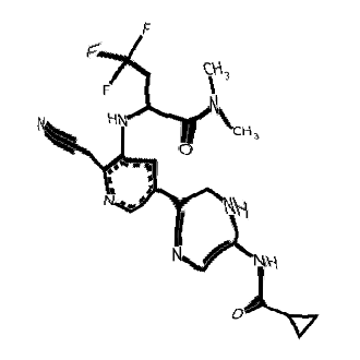 CN(C)C(=O)C(CC(F)(F)F)Nc1cc(C2=NC=C(NC(=O)C3CC3)NC2)cnc1C#N